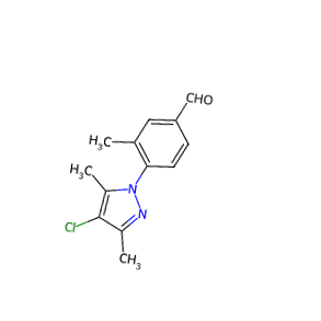 Cc1cc(C=O)ccc1-n1nc(C)c(Cl)c1C